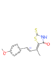 COc1ccc(/C=C/C(C)=C2SC(=S)NC2=O)cc1